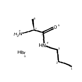 Br.CCCNC(=O)[C@H](C)N